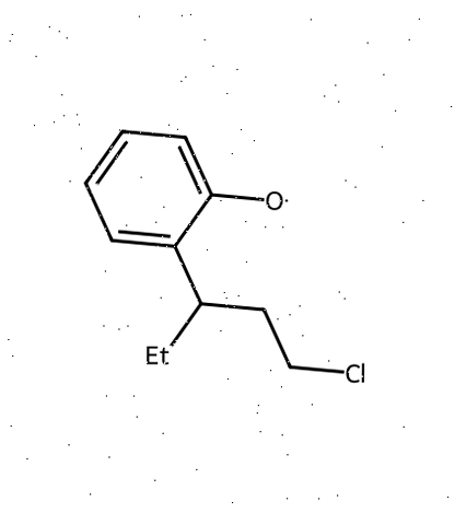 CCC(CCCl)c1ccccc1[O]